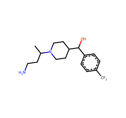 CC(CCN)N1CCC(C(O)c2ccc(C(F)(F)F)cc2)CC1